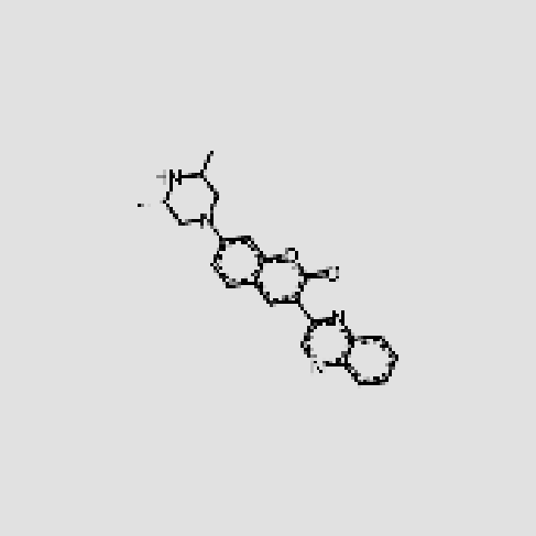 CC1CN(c2ccc3cc(-c4cnc5ccccc5n4)c(=O)oc3c2)C[C@H](C)N1